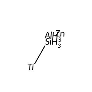 [AlH3].[SiH3][Ti].[Zn]